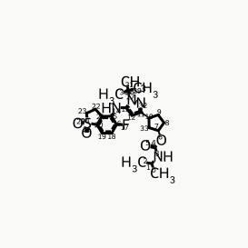 CC(C)NC(=O)O[C@@H]1CC[C@H](c2cc(Nc3c(F)ccc4c3CCS4(=O)=O)n(C(C)(C)C)n2)C1